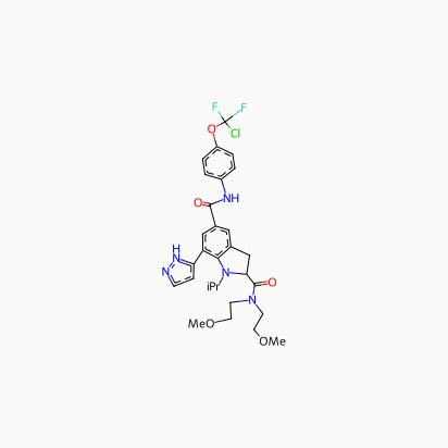 COCCN(CCOC)C(=O)C1Cc2cc(C(=O)Nc3ccc(OC(F)(F)Cl)cc3)cc(-c3ccn[nH]3)c2N1C(C)C